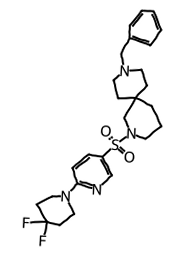 O=S(=O)(c1ccc(N2CCC(F)(F)CC2)nc1)N1CCCC2(CCN(Cc3ccccc3)CC2)C1